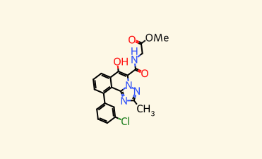 COC(=O)CNC(=O)c1c(O)c2cccc(-c3cccc(Cl)c3)c2c2nc(C)nn12